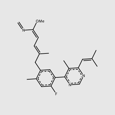 C=N/C(=C\C=C(/C)Cc1cc(-c2ncnc(C=C(C)C)c2C)c(F)cc1C)OC